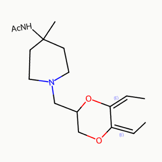 C/C=C1/OCC(CN2CCC(C)(NC(C)=O)CC2)O/C1=C/C